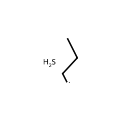 S.[CH2]CCC